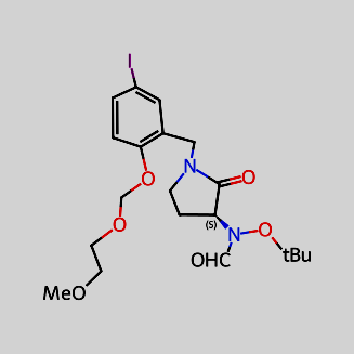 COCCOCOc1ccc(I)cc1CN1CC[C@H](N(C=O)OC(C)(C)C)C1=O